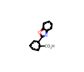 O=C(O)c1ccccc1-c1nc2ccccc2o1